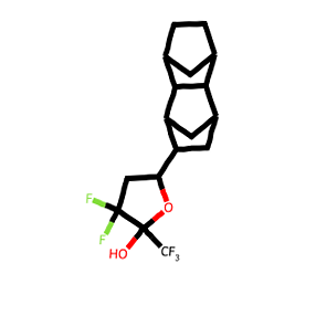 OC1(C(F)(F)F)OC(C2CC3CC2C2C4CCC(C4)C32)CC1(F)F